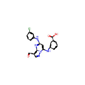 O=Cc1cnn2c(Nc3cccc(C(=O)O)c3)cc(Nc3cccc(Cl)c3)nc12